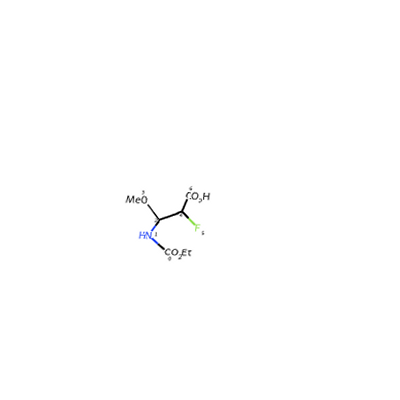 CCOC(=O)NC(OC)C(F)C(=O)O